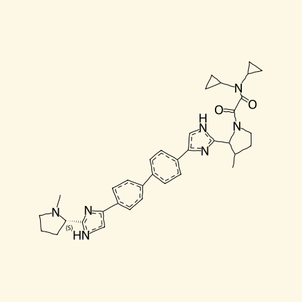 CC1CCN(C(=O)C(=O)N(C2CC2)C2CC2)C1c1nc(-c2ccc(-c3ccc(-c4c[nH]c([C@@H]5CCCN5C)n4)cc3)cc2)c[nH]1